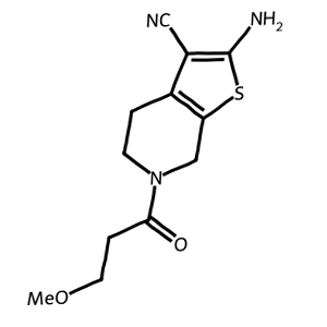 COCCC(=O)N1CCc2c(sc(N)c2C#N)C1